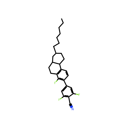 CCCCCCCC1CCC2c3ccc(-c4cc(F)c(C#N)c(F)c4)c(F)c3CCC2C1